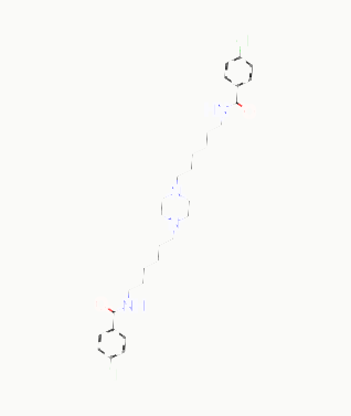 O=C(NCCCCCCN1CCN(CCCCCCNC(=O)c2ccc(Cl)cc2)CC1)c1ccc(Cl)cc1